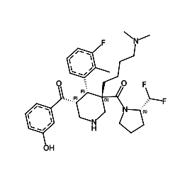 Cc1c(F)cccc1[C@H]1[C@@H](C(=O)c2cccc(O)c2)CNC[C@@]1(CCCCN(C)C)C(=O)N1CCC[C@H]1C(F)F